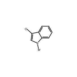 Clc1[c]n(Br)c2ccccc12